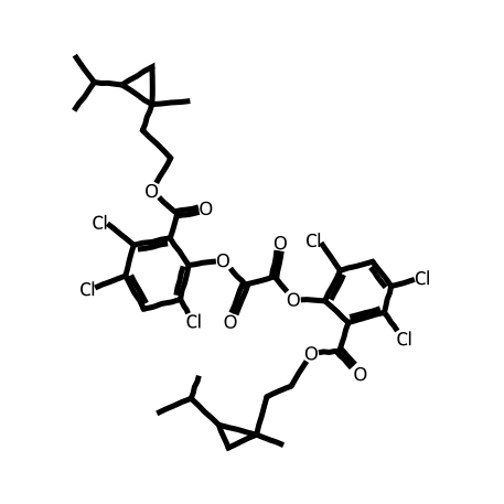 CC(C)C1CC1(C)CCOC(=O)c1c(Cl)c(Cl)cc(Cl)c1OC(=O)C(=O)Oc1c(Cl)cc(Cl)c(Cl)c1C(=O)OCCC1(C)CC1C(C)C